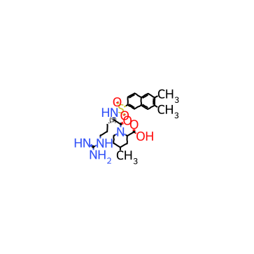 Cc1cc2ccc(S(=O)(=O)N[C@@H](CCCNC(=N)N)C(=O)N3CCC(C)CC3C(=O)O)cc2cc1C